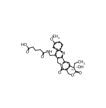 CC[C@@]1(O)C(=O)OCc2c1cc1n(c2=O)Cc2c-1nc1ccc(OC)cc1c2CNC(=O)CCCC(=O)O